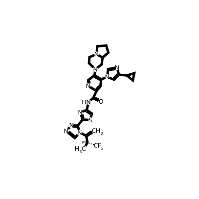 C=C([C@@H](C)C(F)(F)F)n1cnnc1-c1nc(NC(=O)c2cc(-n3cnc(C4CC4)c3)c(N3CCN4CCCC4C3)cn2)cs1